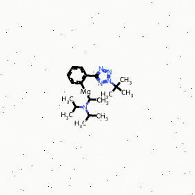 CC(C)N(C(C)C)[CH](C)[Mg][c]1ccccc1-c1nnn(C(C)(C)C)n1